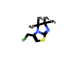 CC1(C)N=C2SC=C(CCl)N2C1(C)C